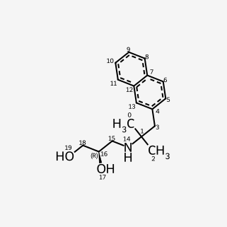 CC(C)(Cc1ccc2ccccc2c1)NC[C@@H](O)CO